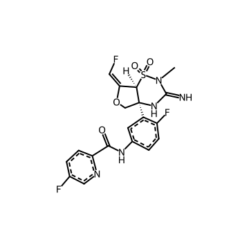 CN1C(=N)N[C@@]2(c3cc(NC(=O)c4ccc(F)cn4)ccc3F)CO/C(=C/F)[C@H]2S1(=O)=O